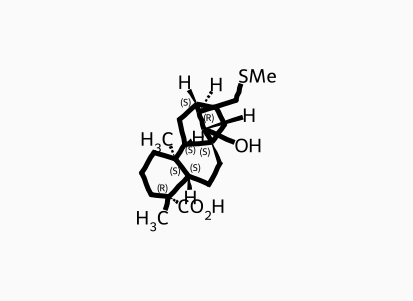 CSC[C@@H]1[C@H]2CC[C@@]3(CC[C@H]4[C@@](C)(CCC[C@@]4(C)C(=O)O)[C@@H]3C2)[C@H]1O